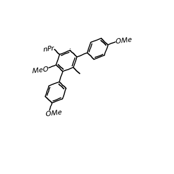 CCCc1[c]c(-c2ccc(OC)cc2)c(C)c(-c2ccc(OC)cc2)c1OC